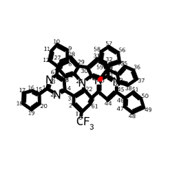 FC(F)(F)c1cc(-c2cc(-c3ccccc3)nc(-c3ccccc3)n2)c(-n2c3ccccc3c3ccc(-c4ccccc4)cc32)c(-c2cc(-c3ccccc3)nc(-c3ccccc3)n2)c1